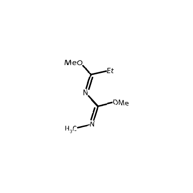 CC/C(=N\C(=N/C)OC)OC